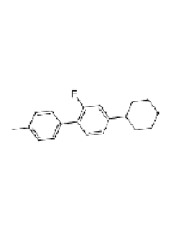 Cc1ccc(-c2ccc(C3CCCCC3)cc2F)cc1